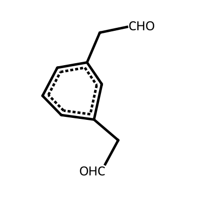 O=CCc1cccc(CC=O)c1